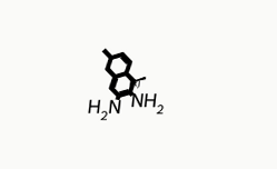 CC1C=CC2C(=CC(N)=C(N)[C@@H]2C)C1